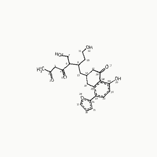 CC(=O)CC(=O)C(CO)C(CCO)CC1CC(=O)c2c(O)ccc(-c3ccco3)c2C1